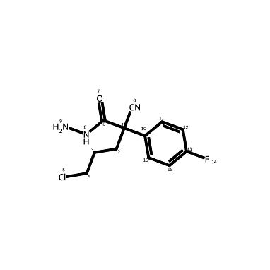 N#CC(CCCCl)(C(=O)NN)c1ccc(F)cc1